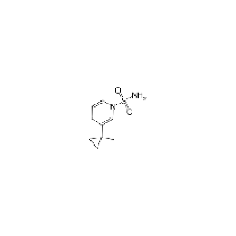 CC1(C2=CN(S(N)(=O)=O)C=CC2)CC1